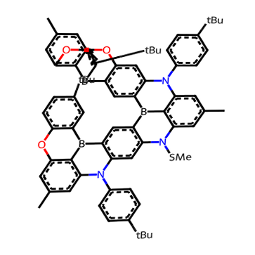 CSN1c2cc3c(cc2B2c4cc5c(cc4N(c4ccc(C(C)(C)C)cc4)c4cc(C)cc1c42)Oc1cc(C)cc2c1B5c1cc(C(C)(C)C)ccc1O2)B1c2cc(C(C)(C)C)ccc2Oc2cc(C)cc(c21)N3c1ccc(C(C)(C)C)cc1